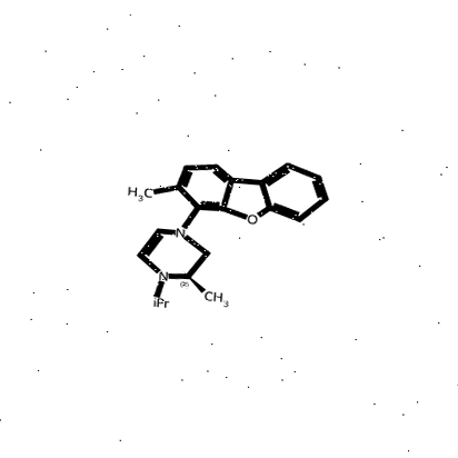 Cc1ccc2c(oc3ccccc32)c1N1C=CN(C(C)C)[C@H](C)C1